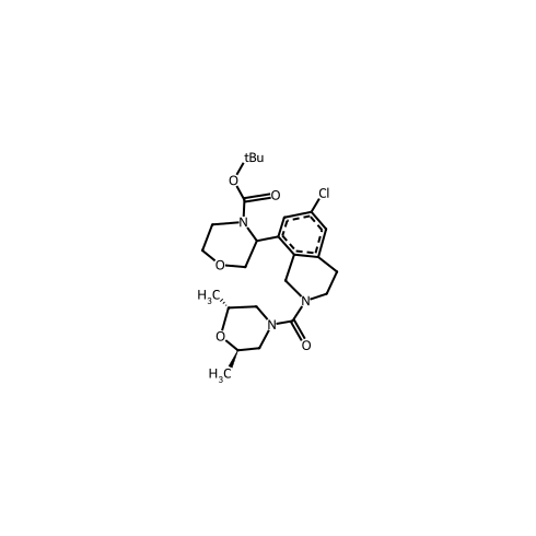 C[C@@H]1CN(C(=O)N2CCc3cc(Cl)cc(C4COCCN4C(=O)OC(C)(C)C)c3C2)C[C@@H](C)O1